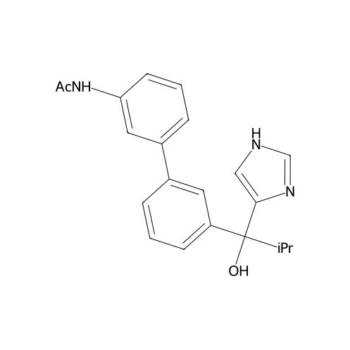 CC(=O)Nc1cccc(-c2cccc(C(O)(c3c[nH]cn3)C(C)C)c2)c1